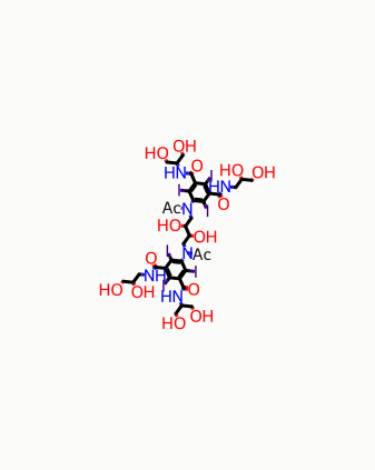 CC(=O)N(CC(O)C(O)CN(C(C)=O)c1c(I)c(C(=O)NCC(O)CO)c(I)c(C(=O)NC(CO)CO)c1I)c1c(I)c(C(=O)NCC(O)CO)c(I)c(C(=O)NC(CO)CO)c1I